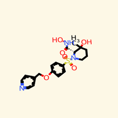 CC1(O)CCCN(S(=O)(=O)c2ccc(OCc3ccncc3)cc2)[C@@H]1C(=O)NO